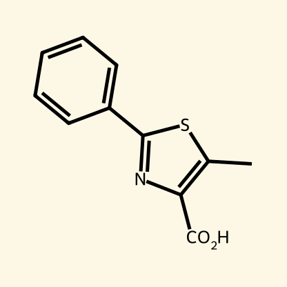 Cc1sc(-c2ccccc2)nc1C(=O)O